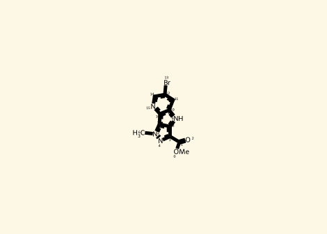 COC(=O)c1nn(C)c2c1[nH]c1cc(Br)cnc12